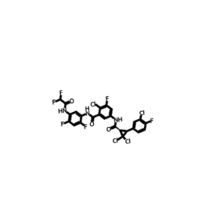 O=C(Nc1cc(NC(=O)C(F)F)c(F)cc1F)c1cc(NC(=O)[C@H]2C(c3ccc(F)c(Cl)c3)C2(Cl)Cl)cc(F)c1Cl